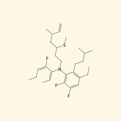 C=CC(C)CC(CCN(C(=C/C)/C(F)=C\CC)c1c(F)c(F)cc(CC)c1CCC(C)C)SC